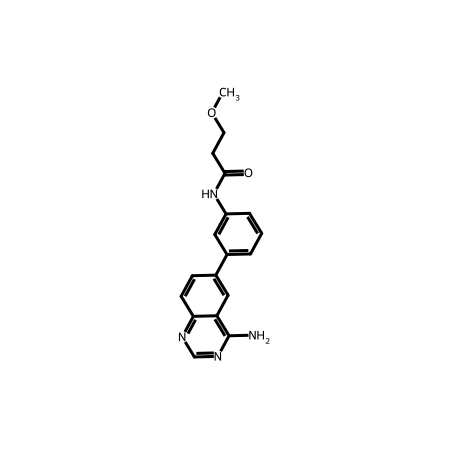 COCCC(=O)Nc1cccc(-c2ccc3ncnc(N)c3c2)c1